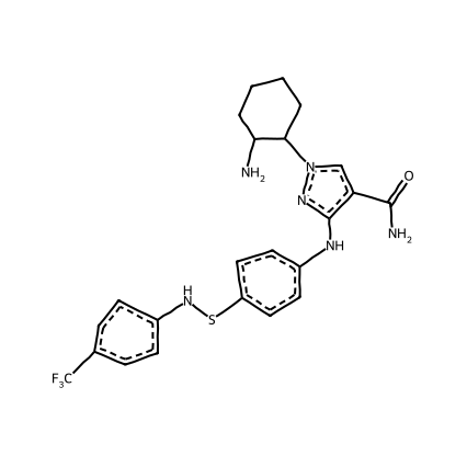 NC(=O)c1cn(C2CCCCC2N)nc1Nc1ccc(SNc2ccc(C(F)(F)F)cc2)cc1